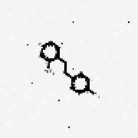 Fc1ccc(CCc2ccc[c]c2C(F)(F)F)cc1